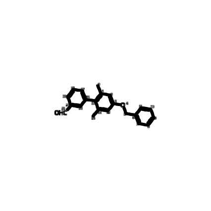 Cc1cc(OCc2ccccc2)cc(C)c1-c1cccc(C=O)c1